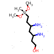 CO[Si](C)(CCC(N)CC(N)CCO)OC